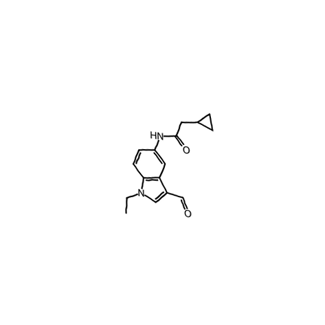 CCn1cc(C=O)c2cc(NC(=O)CC3CC3)ccc21